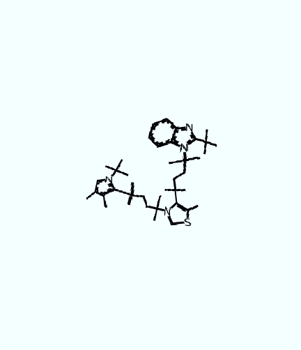 CC1=C(C(C)(C)CCC(C)(C)n2c(C(C)(C)C)nc3ccccc32)N(C(C)(C)CCC(C)(C)c2c(C)c(C)cn2C(C)(C)C)CS1